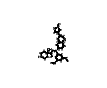 COc1cc(OC)cc(N(CC(C)C2(O)CCNCC2)c2ccc3ncc(-c4cnn(C)c4)nc3c2)c1